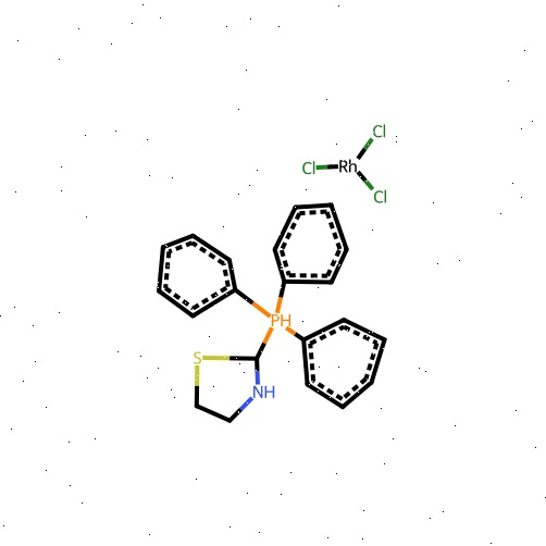 [Cl][Rh]([Cl])[Cl].c1ccc([PH](c2ccccc2)(c2ccccc2)C2NCCS2)cc1